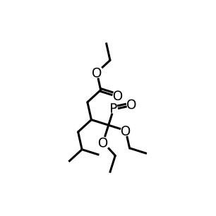 CCOC(=O)CC(CC(C)C)C(OCC)(OCC)P=O